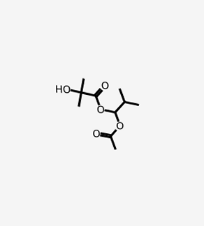 CC(=O)OC(OC(=O)C(C)(C)O)C(C)C